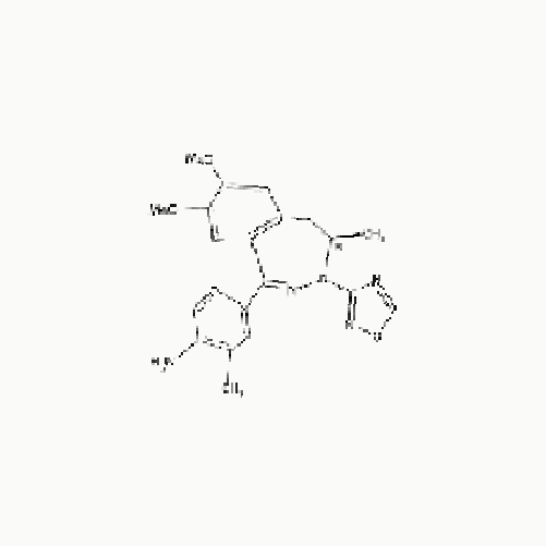 COc1cc2c(cc1OC)C(c1ccc(N)c(C)c1)=NN(c1ncon1)[C@H](C)C2